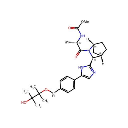 COC(=O)N[C@H](C(=O)N1[C@@H]2CC[C@@H](C2)[C@H]1c1ncc(-c2ccc(BOC(C)(C)C(C)(C)O)cc2)[nH]1)C(C)C